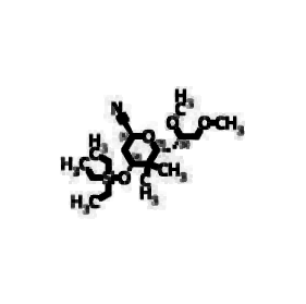 CC[Si](CC)(CC)O[C@@H]1C[C@@H](C#N)O[C@H](C[C@@H](COC)OC)C1(C)C